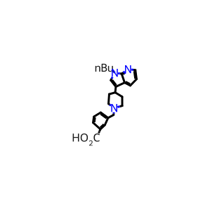 CCCCn1cc(C2CCN(Cc3cccc(C(=O)O)c3)CC2)c2cccnc21